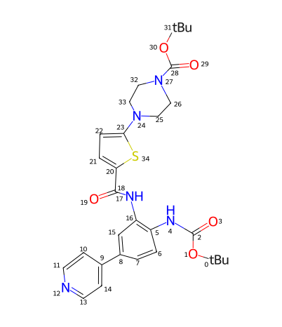 CC(C)(C)OC(=O)Nc1ccc(-c2ccncc2)cc1NC(=O)c1ccc(N2CCN(C(=O)OC(C)(C)C)CC2)s1